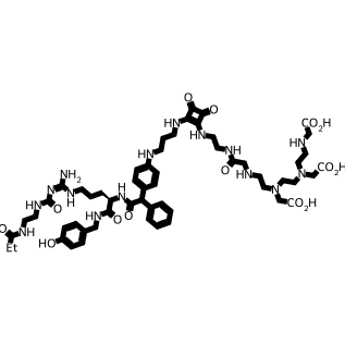 CCC(=O)NCCNC(=O)/N=C(/N)NCCC[C@@H](NC(=O)C(c1ccccc1)c1ccc(NCCCNc2c(NCCNC(=O)CNCCN(CCN(CCNCC(=O)O)CC(=O)O)CC(=O)O)c(=O)c2=O)cc1)C(=O)NCc1ccc(O)cc1